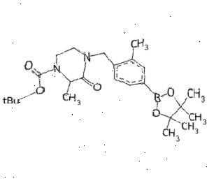 Cc1cc(B2OC(C)(C)C(C)(C)O2)ccc1CN1CCN(C(=O)OC(C)(C)C)C(C)C1=O